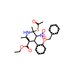 CCOC(=O)C1=C(C)NC(C)(SC(C)=O)C([N+](=O)[O-])C1c1ccccc1OCc1ccccc1